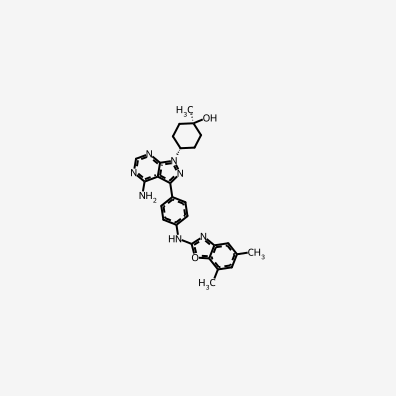 Cc1cc(C)c2oc(Nc3ccc(-c4nn([C@H]5CC[C@](C)(O)CC5)c5ncnc(N)c45)cc3)nc2c1